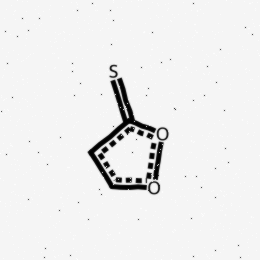 S=c1ccoo1